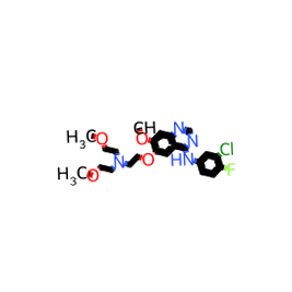 COCCN(CCOC)CCOc1cc2c(Nc3ccc(F)c(Cl)c3)ncnc2cc1OC